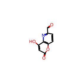 O=Cc1ccc2oc(=O)cc(O)c2n1